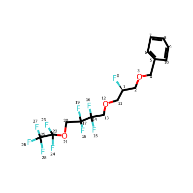 F[C@@H](COCc1ccccc1)COCC(F)(F)C(F)(F)COC(F)(F)C(F)(F)F